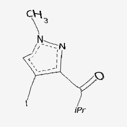 CC(C)C(=O)c1nn(C)cc1I